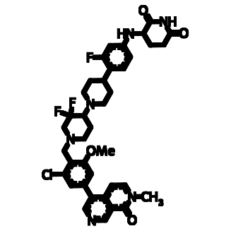 COc1cc(-c2cncc3c(=O)n(C)ccc23)cc(Cl)c1CN1CCC(N2CCC(c3ccc(NC4CCC(=O)NC4=O)cc3F)CC2)C(F)(F)C1